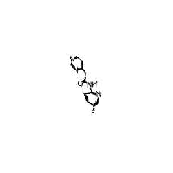 O=C(CC1CC=NC=N1)Nc1ccc(F)cn1